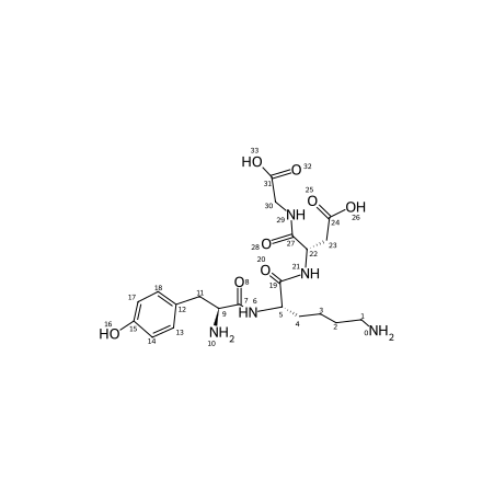 NCCCC[C@H](NC(=O)[C@@H](N)Cc1ccc(O)cc1)C(=O)N[C@@H](CC(=O)O)C(=O)NCC(=O)O